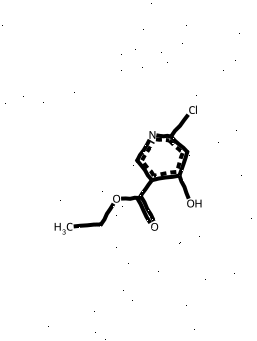 CCOC(=O)c1cnc(Cl)cc1O